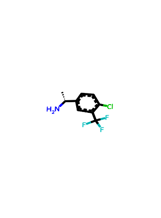 C[C@@H](N)c1ccc(Cl)c(C(F)(F)F)c1